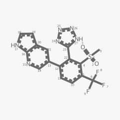 CS(=O)(=O)c1c(C(F)(F)F)ccc(-c2cnc3[nH]ccc3c2)c1-c1nnn[nH]1